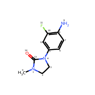 CN1CCN(c2ccc(N)c(F)c2)C1=O